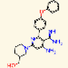 N=C(N)c1c(N)cc(N2CCCC(CO)C2)nc1-c1ccc(Oc2ccccc2)cc1